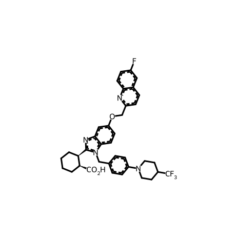 O=C(O)[C@H]1CCCC[C@H]1c1nc2cc(OCc3ccc4cc(F)ccc4n3)ccc2n1Cc1ccc(N2CCC(C(F)(F)F)CC2)cc1